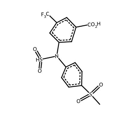 CS(=O)(=O)c1ccc(N(c2cc(C(=O)O)cc(C(F)(F)F)c2)[SH](=O)=O)cc1